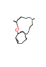 CC1CCC2=C(C=CCC2)OC(C)CC1